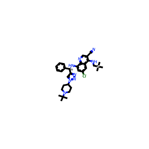 CC(C)(C)N1CCC(n2cc([C@@H](Nc3cc(Cl)cc4c(NC[Si](C)(C)C)c(C#N)cnc34)c3ccccc3)nn2)CC1